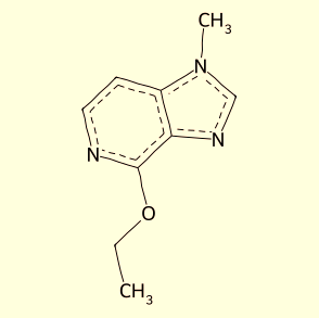 CCOc1nccc2c1ncn2C